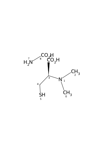 CN(C)[C@@H](CS)C(=O)O.NC(=O)O